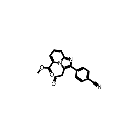 COC(=O)c1cccc2nc(-c3ccc(C#N)cc3)c(CC=O)n12